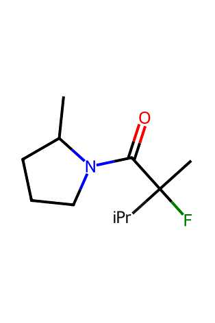 CC1CCCN1C(=O)C(C)(F)C(C)C